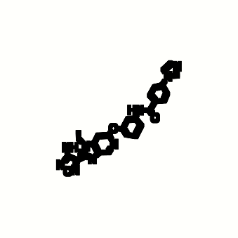 CCn1c(-c2nonc2N)nc2cnc(Oc3cccc(NC(=O)c4ccc(-n5ccnc5)cc4)c3)cc21